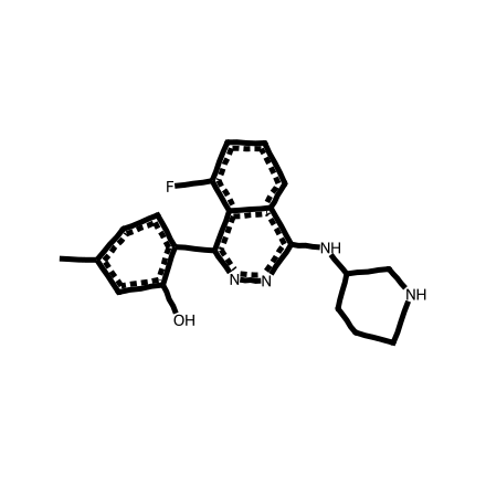 Cc1ccc(-c2nnc(NC3CCCNC3)c3cccc(F)c23)c(O)c1